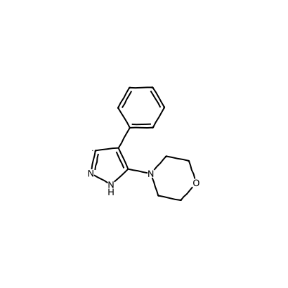 [c]1n[nH]c(N2CCOCC2)c1-c1ccccc1